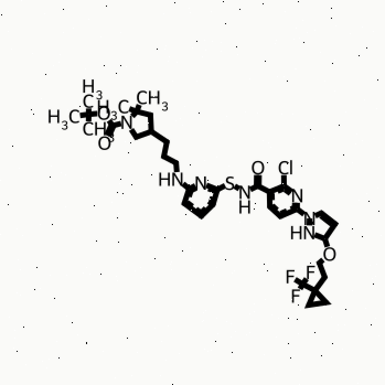 CC(C)(C)OC(=O)N1CC(CCCNc2cccc(SNC(=O)c3ccc(N4C=CC(OCCC5(C(F)(F)F)CC5)N4)nc3Cl)n2)CC1(C)C